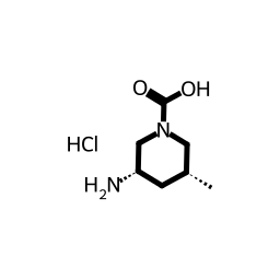 C[C@@H]1C[C@H](N)CN(C(=O)O)C1.Cl